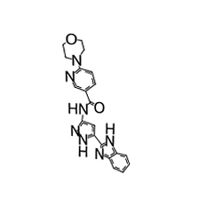 O=C(Nc1cc(-c2nc3ccccc3[nH]2)[nH]n1)c1ccc(N2CCOCC2)nc1